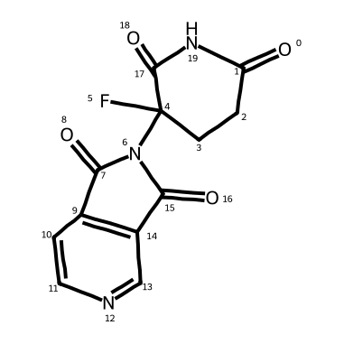 O=C1CCC(F)(N2C(=O)c3ccncc3C2=O)C(=O)N1